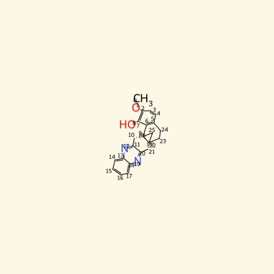 COc1ccc2c(c1O)[C@]13Cc4nc5ccccc5nc4C[C@@]1(CC2)C3